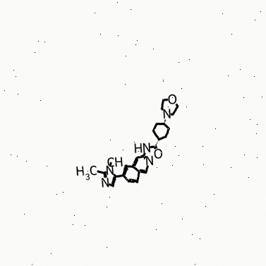 Cc1ncc(-c2ccc3cnc(NC(=O)[C@H]4CC[C@@H](N5CCOCC5)CC4)cc3c2)n1C